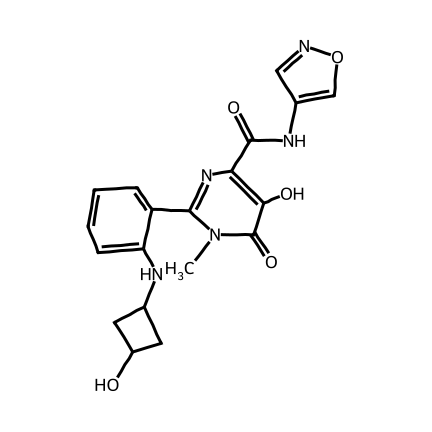 Cn1c(-c2ccccc2NC2CC(O)C2)nc(C(=O)Nc2cnoc2)c(O)c1=O